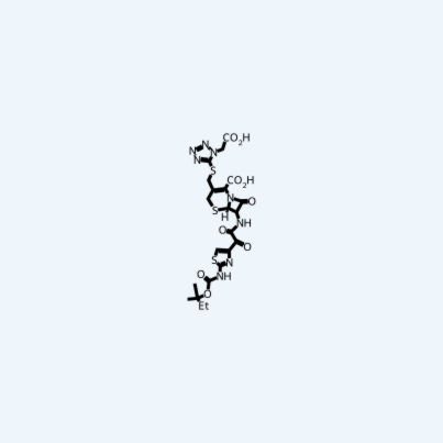 CCC(C)(C)OC(=O)Nc1nc(C(=O)C(=O)NC2C(=O)N3C(C(=O)O)=C(CSc4nnnn4CC(=O)O)CS[C@@H]23)cs1